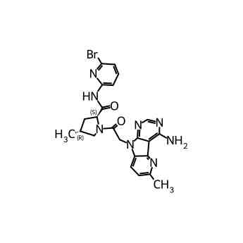 Cc1ccc2c(n1)c1c(N)ncnc1n2CC(=O)N1C[C@H](C)C[C@H]1C(=O)Nc1cccc(Br)n1